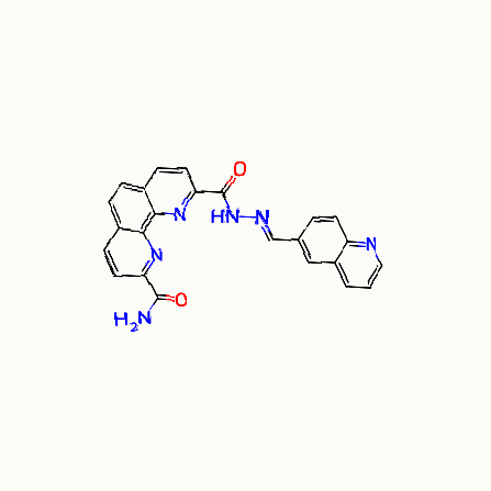 NC(=O)c1ccc2ccc3ccc(C(=O)N/N=C/c4ccc5ncccc5c4)nc3c2n1